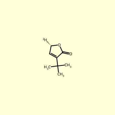 [2H][C@H]1C=C(C(C)(C)C)C(=O)O1